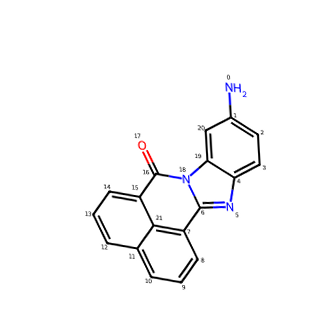 Nc1ccc2nc3c4cccc5cccc(c(=O)n3c2c1)c54